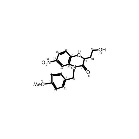 COc1ccc(CN2C(=O)C(CCO)Oc3ccc([N+](=O)[O-])cc32)cc1